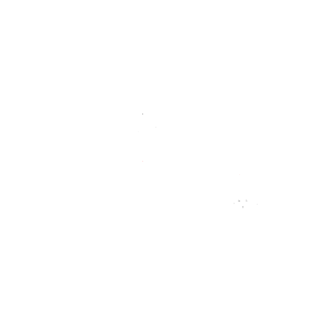 CCc1ccc(OCc2c(CC(=O)OC)cccc2C2CC2)c(C(F)(F)F)c1